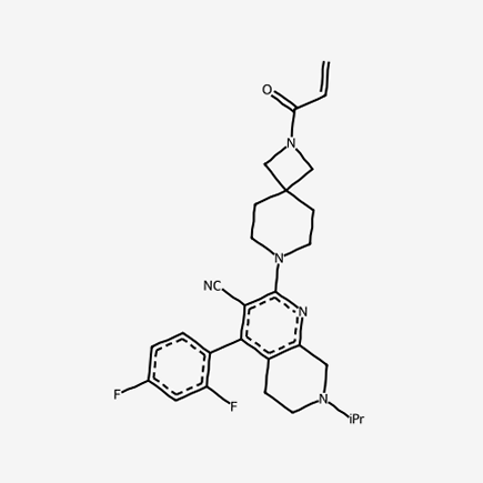 C=CC(=O)N1CC2(CCN(c3nc4c(c(-c5ccc(F)cc5F)c3C#N)CCN(C(C)C)C4)CC2)C1